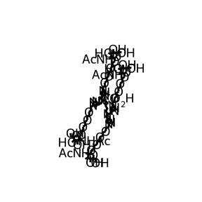 CC(=O)NC1C(OCCOCCOCCOCCn2cc(CN(CCCC[C@@H](C(=O)O)N(Cc3cn(CCOCCOCCOCCOC4OC(CO)C(O)C(O)C4NC(C)=O)nn3)Cc3cn(CCOCCOCCOCCOC4OC(CO)C(O)C(O)C4NC(C)=O)nn3)Cc3cn(CCOCCOCCOCCOC4OC(CO)C(O)C(O)C4NC(C)=O)nn3)nn2)OC(CO)C(O)C1C